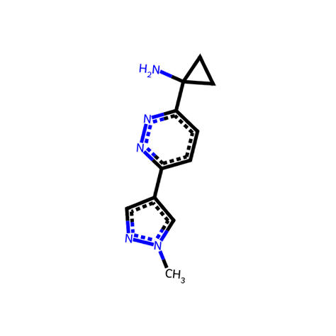 Cn1cc(-c2ccc(C3(N)CC3)nn2)cn1